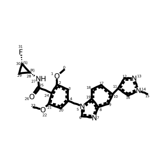 COc1cc(-n2cnc3cc(-c4cnn(C)c4)ccc32)cc(OC)c1C(=O)N[C@@H]1C[C@@H]1F